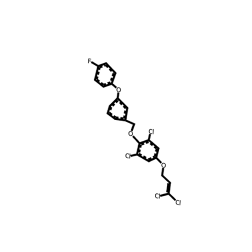 Fc1ccc(Oc2cccc(COc3c(Cl)cc(OCC=C(Cl)Cl)cc3Cl)c2)cc1